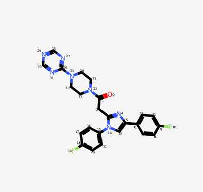 O=C(Cc1nc(-c2ccc(F)cc2)cn1-c1ccc(F)cc1)N1CCN(c2ncncn2)CC1